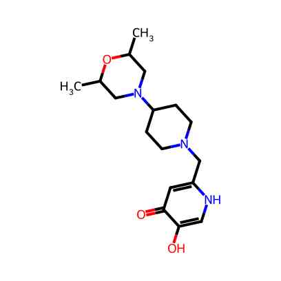 CC1CN(C2CCN(Cc3cc(=O)c(O)c[nH]3)CC2)CC(C)O1